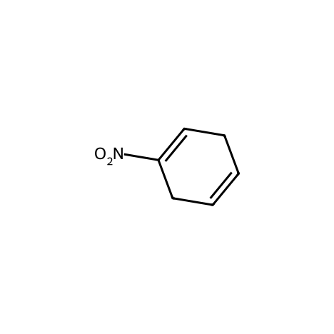 O=[N+]([O-])C1=CCC=CC1